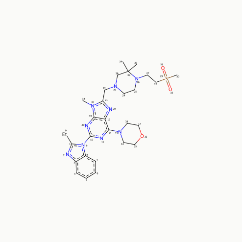 CCc1nc2ccccc2n1-c1nc(N2CCOCC2)c2nc(CN3CCN(CCS(C)(=O)=O)C(C)(C)C3)n(C)c2n1